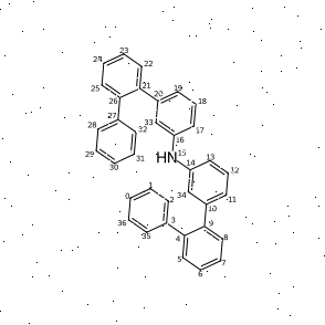 c1ccc(-c2ccccc2-c2cccc(Nc3cccc(-c4ccccc4-c4ccccc4)c3)c2)cc1